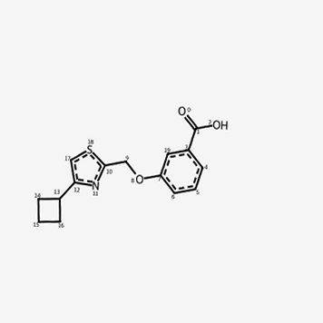 O=C(O)c1cccc(OCc2nc(C3CCC3)cs2)c1